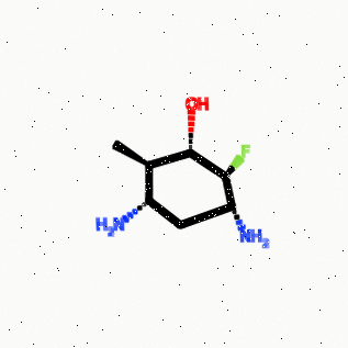 C[C@H]1[C@H](O)[C@@H](F)[C@H](N)C[C@@H]1N